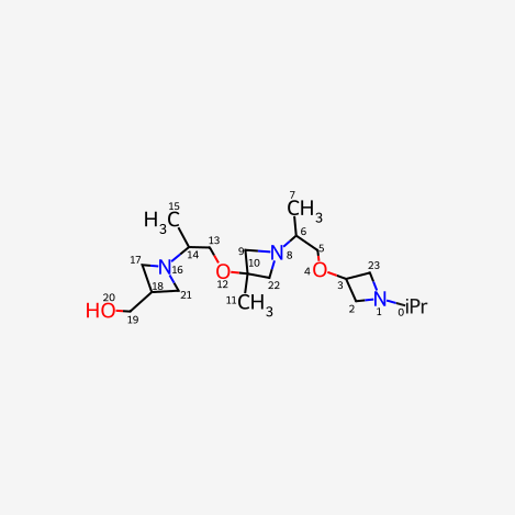 CC(C)N1CC(OCC(C)N2CC(C)(OCC(C)N3CC(CO)C3)C2)C1